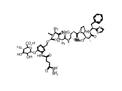 CCC(C)[C@@H]([C@@H](CC(=O)N1CCC[C@H]1[C@H](OC)[C@@H](C)C(=O)N[C@@H](Cc1ccccc1)c1nccs1)OC)N(C)C(=O)[C@@H](NC(=O)[C@H](C(C)C)N(C)C(=O)OCc1ccc(O[C@@H]2OC(C(=O)O)[C@@H](O)C(O)C2O)c(NC(=O)CCC(=O)NN)c1)C(C)C